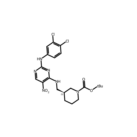 CC(C)(C)OC(=O)N1CCC[C@@H](CNc2nc(Nc3ccc(Cl)c(Cl)c3)ncc2[N+](=O)[O-])C1